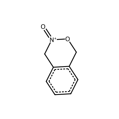 O=[N+]1Cc2ccccc2CO1